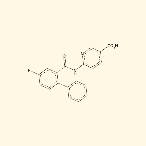 O=C(O)c1ccc(NC(=O)c2cc(F)ccc2-c2ccccc2)nc1